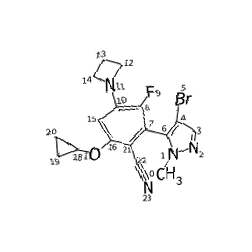 Cn1ncc(Br)c1-c1c(F)c(N2CCC2)cc(OC2CC2)c1C#N